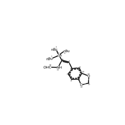 CCC[CH2][Sn]([CH2]CCC)([CH2]CCC)/[C](=C/c1ccc2c(c1)OCO2)NC=O